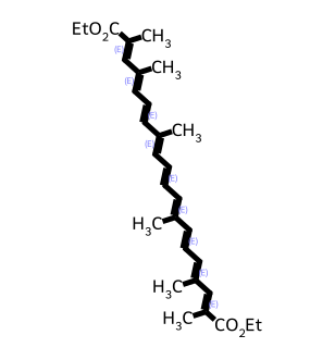 CCOC(=O)/C(C)=C/C(C)=C/C=C/C(C)=C/C=C/C=C(C)/C=C/C=C(C)/C=C(\C)C(=O)OCC